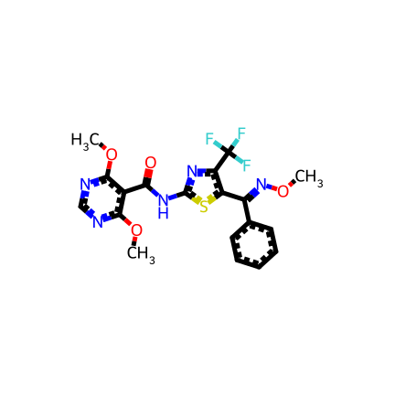 CON=C(c1ccccc1)c1sc(NC(=O)c2c(OC)ncnc2OC)nc1C(F)(F)F